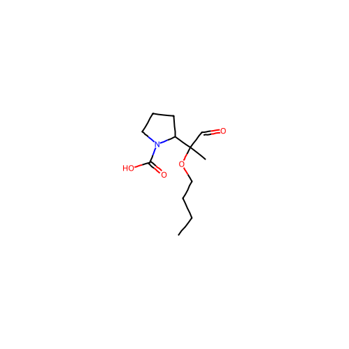 CCCCOC(C)(C=O)C1CCCN1C(=O)O